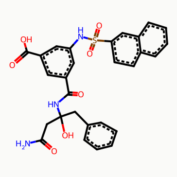 NC(=O)CC(O)(Cc1ccccc1)NC(=O)c1cc(NS(=O)(=O)c2ccc3ccccc3c2)cc(C(=O)O)c1